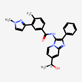 C[C@H](O)c1ccn2c(NC(=O)c3ccc(C(F)(F)F)c(-c4ccn(C)n4)c3)c(-c3ccccc3)nc2c1